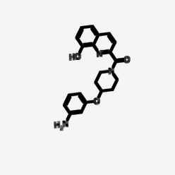 Nc1cccc(OC2CCN(C(=O)c3ccc4cccc(O)c4n3)CC2)c1